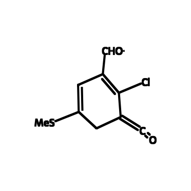 CSC1=CC([C]=O)=C(Cl)C(=C=O)C1